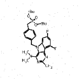 Cc1nc(N(C)C)c2c(n1)c1c(F)cc(F)cc1n2Cc1ccc(CP(=O)(OC(C)(C)C)OC(C)(C)C)cc1